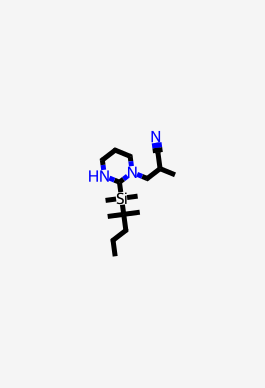 CCCC(C)(C)[Si](C)(C)C1NCCCN1CC(C)C#N